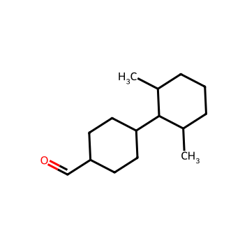 CC1CCCC(C)C1C1CCC(C=O)CC1